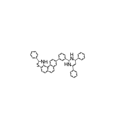 C1=C(c2ccccc2)NC(c2cccc(-c3ccc4c(ccc5ccc6c(c54)NC(c4ccccc4)S6)c3)c2)NC1c1ccccc1